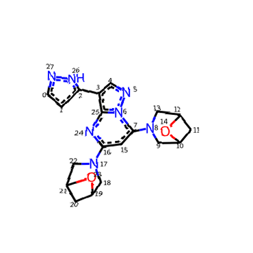 c1cc(-c2cnn3c(N4CC5CC(C4)O5)cc(N4CC5CC(C4)O5)nc23)[nH]n1